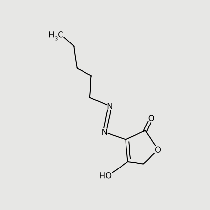 CCCCCN=NC1=C(O)COC1=O